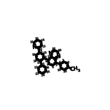 Cc1ccc(-c2ccc(-c3cc(-c4ccccn4)ccc3-c3ccccc3)c3nccnc23)cc1